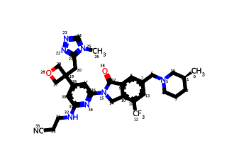 C[C@H]1CCCN(Cc2cc3c(c(C(F)(F)F)c2)CN(c2cc(C4(Cc5nncn5C)COC4)cc(NCCC#N)n2)C3=O)C1